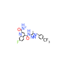 Cc1c(NC(=O)c2cc(C(N)=O)nc3cc(F)ccc23)nnn1Cc1ccc(C(F)(F)F)cc1